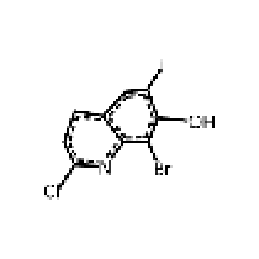 Oc1c(I)cc2ccc(Cl)nc2c1Br